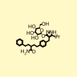 CC(C)c1[nH]nc(O[C@@H]2O[C@H](CO)[C@@H](O)[C@H](O)[C@H]2O)c1Cc1ccc(CCC(CCc2ccccc2)C(N)=O)cc1